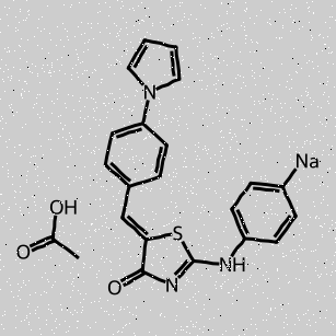 CC(=O)O.O=C1N=C(Nc2cc[c]([Na])cc2)SC1=Cc1ccc(-n2cccc2)cc1